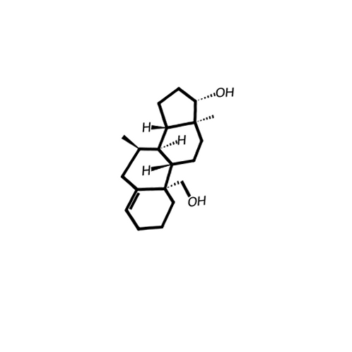 C[C@@H]1CC2=CCCC[C@]2(CO)[C@H]2CC[C@]3(C)[C@@H](O)CC[C@H]3[C@H]12